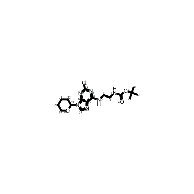 CC(C)(C)OC(=O)NCCNc1nc(Cl)nc2c1ncn2C1CCCCO1